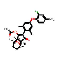 Cc1cc(Oc2ccc([N+](=O)[O-])cc2Cl)cc(C)c1C1=C(OC(=O)C(C)(C)C)[C@H]2[C@@H](C1=O)[C@@H]1CC[C@H]2O1